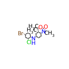 CN1C(=O)OC(C)(C)c2cc(Nc3ccc(Br)cc3Cl)ccc21